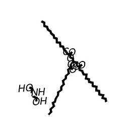 CCCCCCCCCCCCCCCCCC(=O)OCC(COC(=O)CCCCCCCCCCCCCCCCC)OC(=O)CCCCCCCCCCCCCCCCC.OCCNCCO